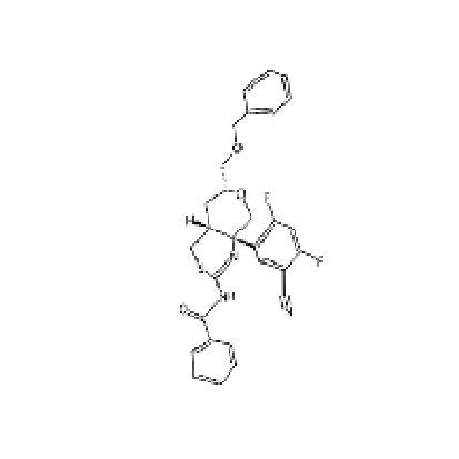 N#Cc1cc([C@]23CO[C@@H](COCc4ccccc4)C[C@H]2CSC(NC(=O)c2ccccc2)=N3)c(F)cc1F